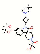 CC1(C)CCN([C@H]2C[C@@H](N3C(=O)C4(CCN(C(=O)C(C)(C)O)CC4)c4ccc(B5OC(C)(C)C(C)(C)O5)cc43)C2)C1